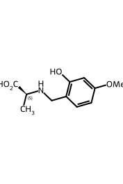 COc1ccc(CN[C@@H](C)C(=O)O)c(O)c1